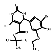 CCOc1cc(C2NC(=O)NC(C)=C2C(=O)OC(C)(C)C)cc(Br)c1O